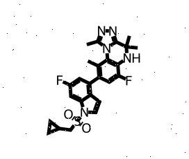 Cc1c(-c2cc(F)cc3c2ccn3S(=O)(=O)CC2CC2)cc(F)c2c1-n1c(C)nnc1C(C)(C)N2